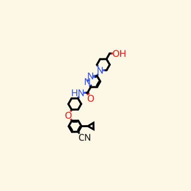 N#Cc1ccc(OC2CCC(NC(=O)c3ccc(N4CCC(CO)CC4)nn3)CC2)cc1C1CC1